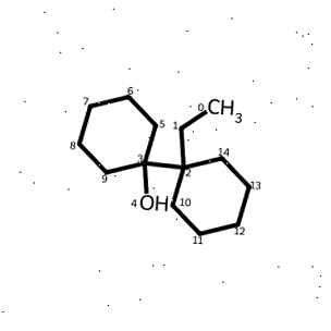 CCC1(C2(O)CCCCC2)CCCCC1